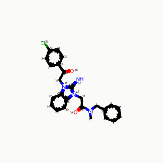 CN(Cc1ccccc1)C(=O)Cn1c(=N)n(CC(=O)c2ccc(Cl)cc2)c2ccccc21